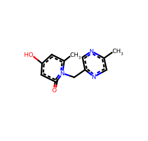 Cc1cnc(Cn2c(C)cc(O)cc2=O)cn1